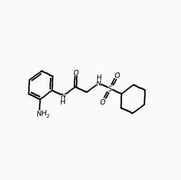 Nc1ccccc1NC(=O)CNS(=O)(=O)C1CCCCC1